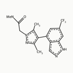 CNC(=O)Cn1nc(C)c(-c2cc(C(F)(F)F)cc3[nH]ncc23)c1C